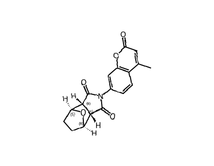 Cc1cc(=O)oc2cc(N3C(=O)[C@@H]4[C@H](C3=O)[C@H]3CC[C@@H]4O3)ccc12